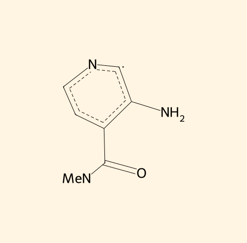 CNC(=O)c1ccn[c]c1N